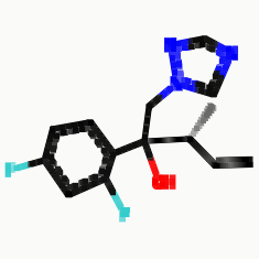 C=C[C@@H](C)C(O)(Cn1cncn1)c1ccc(F)cc1F